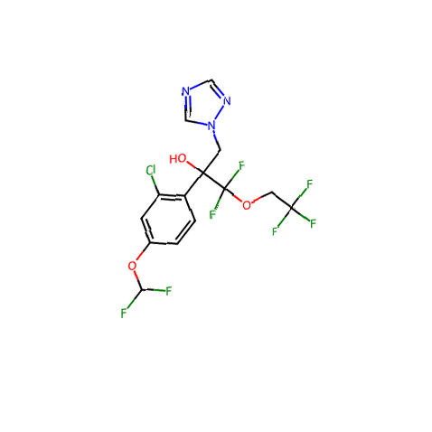 OC(Cn1cncn1)(c1ccc(OC(F)F)cc1Cl)C(F)(F)OCC(F)(F)F